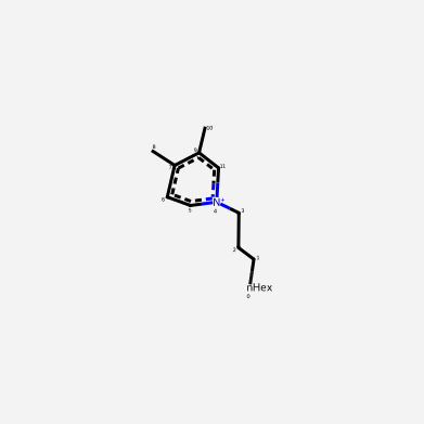 CCCCCCCCC[n+]1ccc(C)c(C)c1